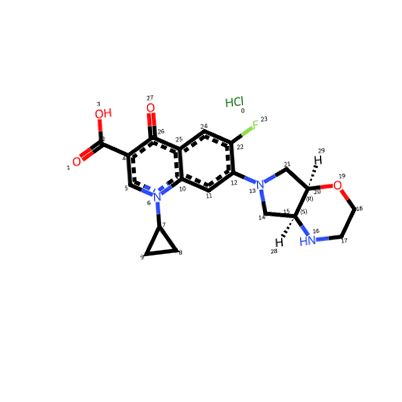 Cl.O=C(O)c1cn(C2CC2)c2cc(N3C[C@@H]4NCCO[C@@H]4C3)c(F)cc2c1=O